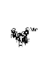 COc1ccc(CNc2cc(Nc3cc(OC4CC4)c(-c4cnn(C5CCOC5)c4)cn3)nc(C(F)F)n2)c(OC)c1